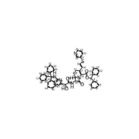 O=C(OC(c1ccccc1)c1ccccc1)C1=C(/C=C/Sc2cccnc2)CS[C@@H]2C(NC(=O)C(O)c3csc(NC(c4ccccc4)(c4ccccc4)c4ccccc4)n3)C(=O)N12